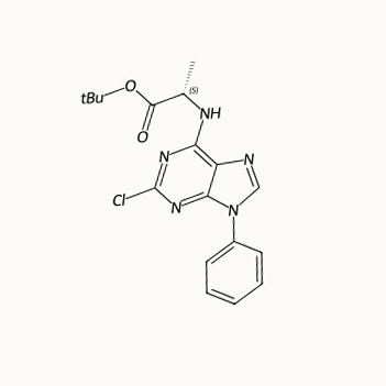 C[C@H](Nc1nc(Cl)nc2c1ncn2-c1ccccc1)C(=O)OC(C)(C)C